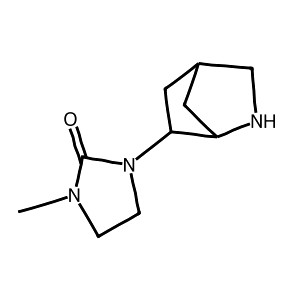 CN1CCN(C2CC3CNC2C3)C1=O